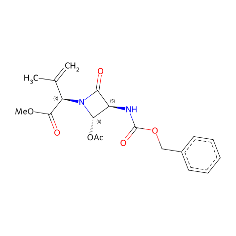 C=C(C)[C@H](C(=O)OC)N1C(=O)[C@@H](NC(=O)OCc2ccccc2)[C@@H]1OC(C)=O